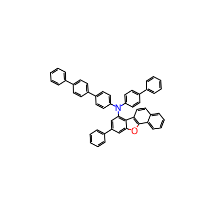 c1ccc(-c2ccc(-c3ccc(N(c4ccc(-c5ccccc5)cc4)c4cc(-c5ccccc5)cc5oc6c7ccccc7ccc6c45)cc3)cc2)cc1